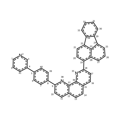 c1cncc(-c2ccc(-c3ccc4ccc5ccc(-c6ccc7c8c(cccc68)-c6ccccc6-7)nc5c4n3)cc2)c1